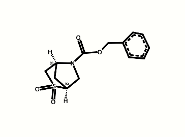 O=C(OCc1ccccc1)N1C[C@@H]2C[C@H]1CS2(=O)=O